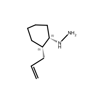 C=CC[C@@H]1CCCC[C@@H]1NN